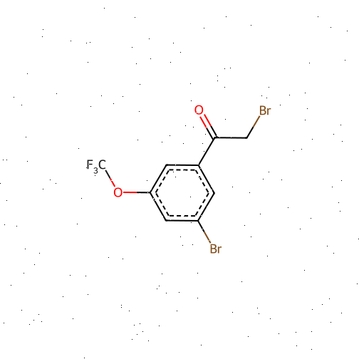 O=C(CBr)c1cc(Br)cc(OC(F)(F)F)c1